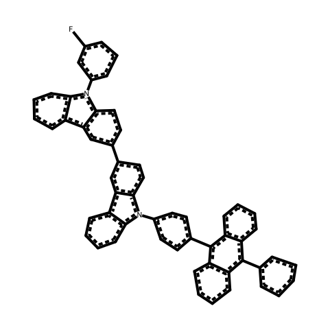 Fc1cccc(-n2c3ccccc3c3cc(-c4ccc5c(c4)c4ccccc4n5-c4ccc(-c5c6ccccc6c(-c6ccccc6)c6ccccc56)cc4)ccc32)c1